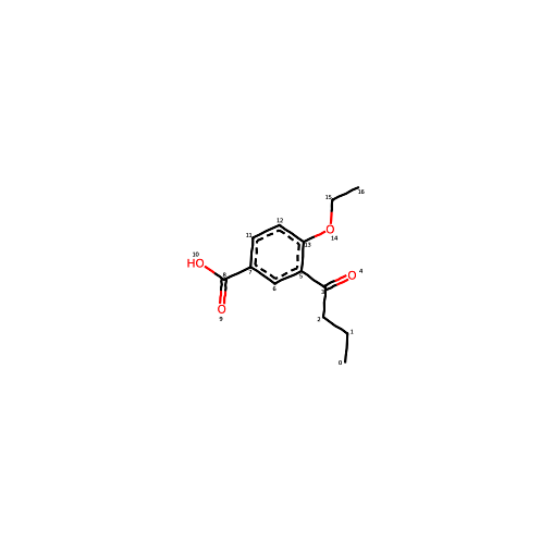 CCCC(=O)c1cc(C(=O)O)ccc1OCC